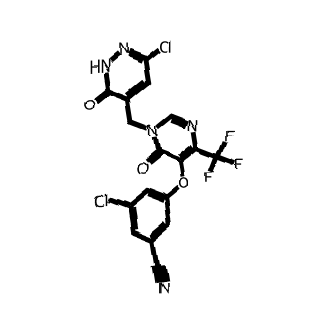 N#Cc1cc(Cl)cc(Oc2c(C(F)(F)F)ncn(Cc3cc(Cl)n[nH]c3=O)c2=O)c1